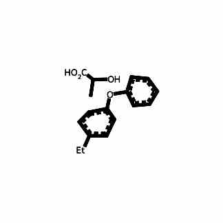 CC(O)C(=O)O.CCc1ccc(Oc2ccccc2)cc1